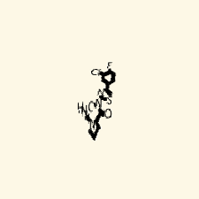 CN(C(=O)C1CCCN1C#N)c1nc(-c2ccc(F)c(Cl)c2)cs1